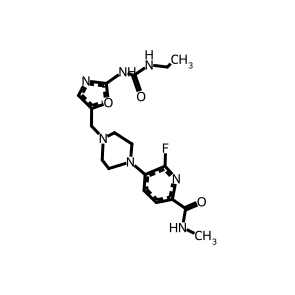 CCNC(=O)Nc1ncc(CN2CCN(c3ccc(C(=O)NC)nc3F)CC2)o1